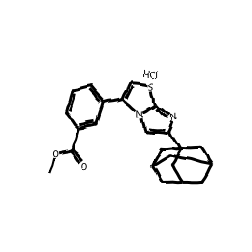 COC(=O)c1cccc(-c2csc3nc(C45CC6CC(CC(C6)C4)C5)cn23)c1.Cl